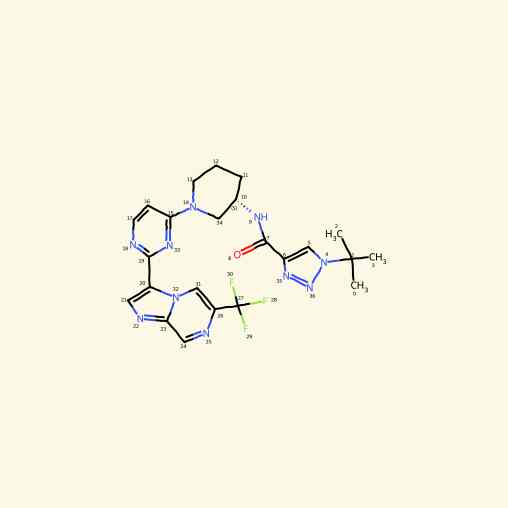 CC(C)(C)n1cc(C(=O)N[C@H]2CCCN(c3ccnc(-c4cnc5cnc(C(F)(F)F)cn45)n3)C2)nn1